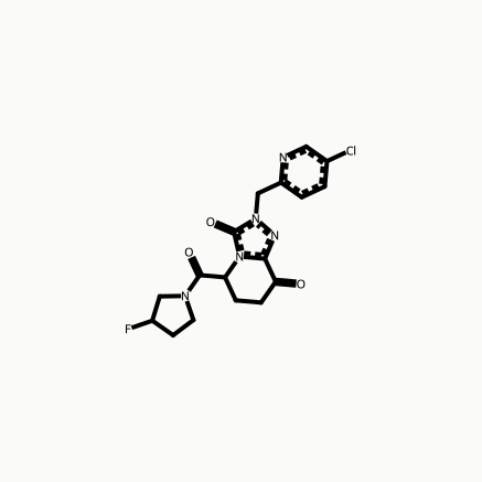 O=C1CCC(C(=O)N2CCC(F)C2)n2c1nn(Cc1ccc(Cl)cn1)c2=O